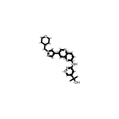 CC(C)(O)c1cnnc(Nc2ccc3ncc(-c4cnn(CC5CCOCC5)c4)cc3n2)c1